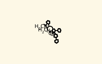 C=CC1=NC2C(=C)/N=C(/C)c3c(cc(-c4ccccc4)c4c3oc3cc(-c5ccccc5)ccc34)CCC2c2ccccc21